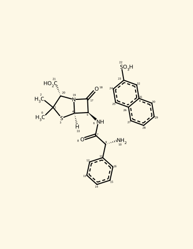 CC1(C)S[C@@H]2[C@H](NC(=O)[C@H](N)c3ccccc3)C(=O)N2[C@H]1C(=O)O.O=S(=O)(O)c1ccc2ccccc2c1